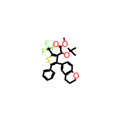 COC(=O)C(OC(C)(C)C)c1c(C(F)(F)F)sc(-c2ccccc2)c1-c1ccc2c(c1)CCCO2